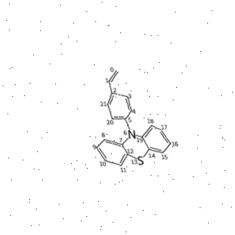 C=Cc1ccc(N2c3ccccc3Sc3ccccc32)cc1